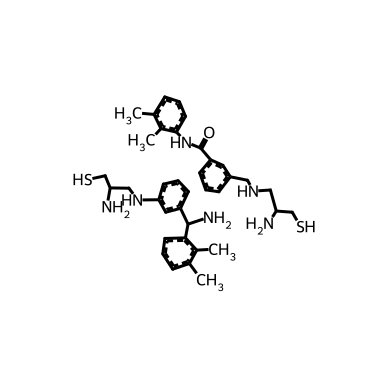 Cc1cccc(C(N)c2cccc(NCC(N)CS)c2)c1C.Cc1cccc(NC(=O)c2cccc(CNCC(N)CS)c2)c1C